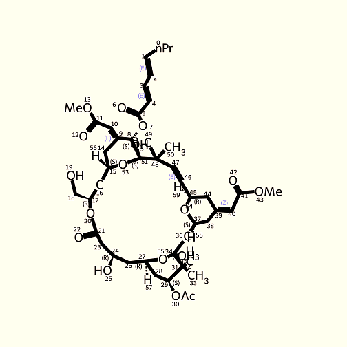 CCC/C=C/C=C/C(=O)O[C@H]1/C(=C/C(=O)OC)C[C@H]2C[C@H](CO)OC(=O)C[C@H](O)C[C@@H]3C[C@H](OC(C)=O)C(C)(C)[C@](O)(C[C@@H]4C/C(=C/C(=O)OC)C[C@H](/C=C/C(C)(C)[C@]1(O)O2)O4)O3